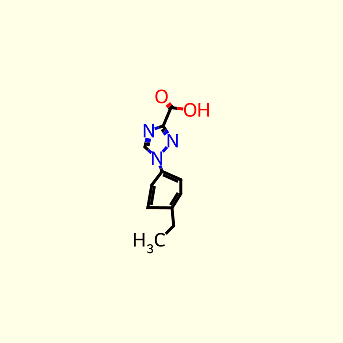 CCc1ccc(-n2cnc(C(=O)O)n2)cc1